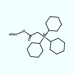 CCCCCOC(=O)C[PH](C1CCCCC1)(C1CCCCC1)C1CCCCC1